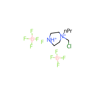 CCC[N+]1(CCl)CC[NH+](F)CC1.F[B-](F)(F)F.F[B-](F)(F)F